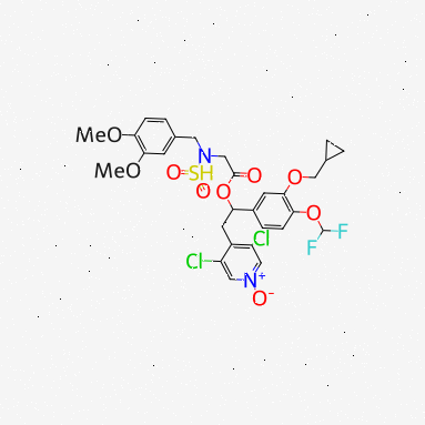 COc1ccc(CN(CC(=O)OC(Cc2c(Cl)c[n+]([O-])cc2Cl)c2ccc(OC(F)F)c(OCC3CC3)c2)[SH](=O)=O)cc1OC